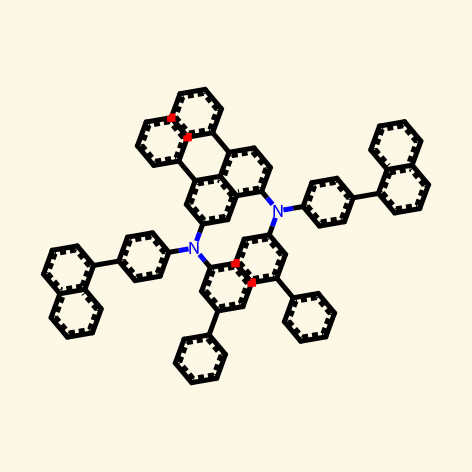 c1ccc(-c2cccc(N(c3ccc(-c4cccc5ccccc45)cc3)c3cc(-c4ccccc4)c4c(-c5ccccc5)ccc(N(c5ccc(-c6cccc7ccccc67)cc5)c5cccc(-c6ccccc6)c5)c4c3)c2)cc1